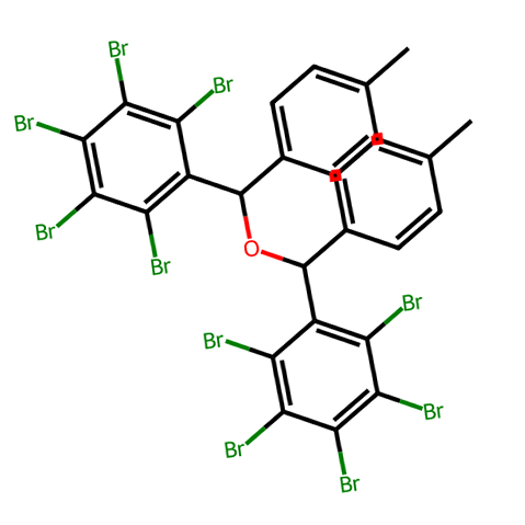 Cc1ccc(C(OC(c2ccc(C)cc2)c2c(Br)c(Br)c(Br)c(Br)c2Br)c2c(Br)c(Br)c(Br)c(Br)c2Br)cc1